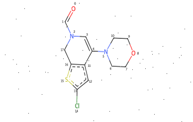 O=CN1C=C(N2CCOCC2)c2cc(Cl)sc2C1